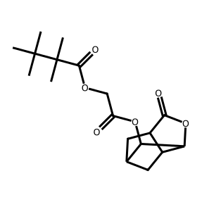 CC(C)(C)C(C)(C)C(=O)OCC(=O)OC1C2CC3C(=O)OC1C3C2